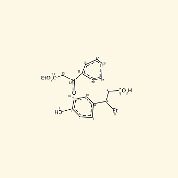 CCC(CC(=O)O)c1ccc(O)cc1.CCOC(=O)CC(=O)c1ccccc1